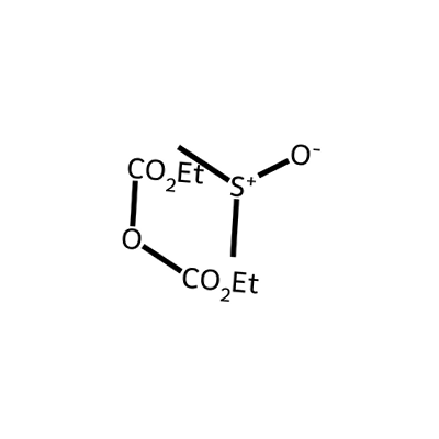 CCOC(=O)OC(=O)OCC.C[S+](C)[O-]